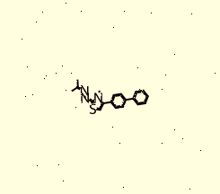 CC(C)=NN=c1scc(-c2ccc(-c3ccccc3)cc2)n1C